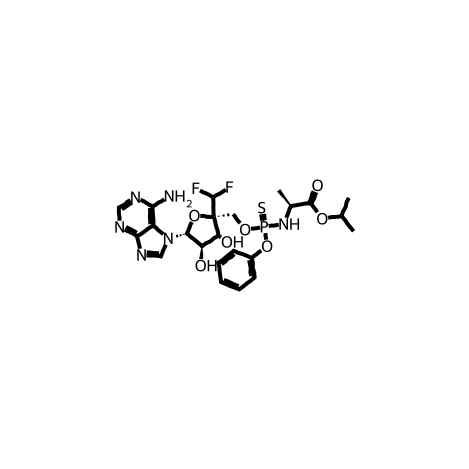 CC(C)OC(=O)[C@H](C)NP(=S)(OC[C@@]1(C(F)F)O[C@@H](n2cnc3ncnc(N)c32)[C@H](O)[C@@H]1O)Oc1ccccc1